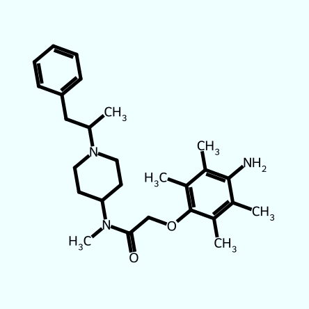 Cc1c(C)c(OCC(=O)N(C)C2CCN(C(C)Cc3ccccc3)CC2)c(C)c(C)c1N